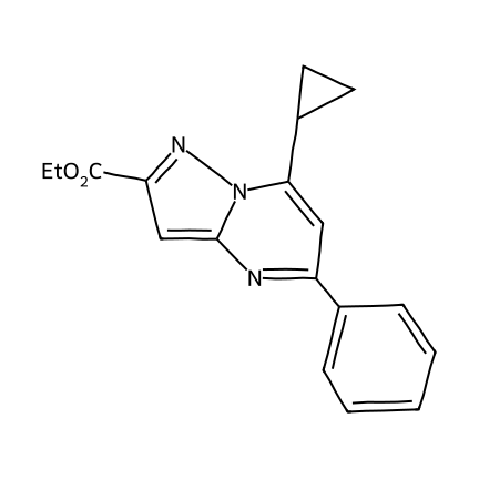 CCOC(=O)c1cc2nc(-c3ccccc3)cc(C3CC3)n2n1